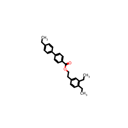 CCc1ccc(-c2ccc(C(=O)OCCc3ccc(CC)c(CC)c3)cc2)cc1